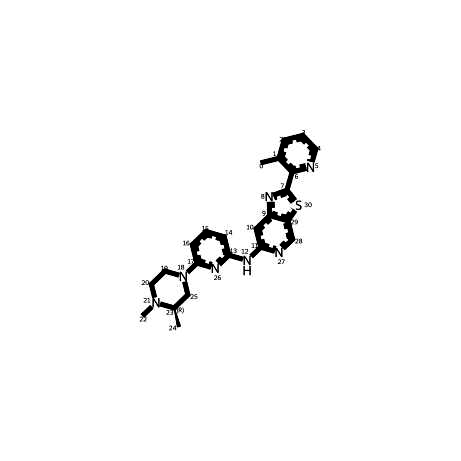 Cc1cccnc1-c1nc2cc(Nc3cccc(N4CCN(C)[C@H](C)C4)n3)ncc2s1